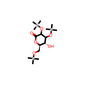 C[Si](C)(C)OC[C@H]1OC(=O)C(O[Si](C)(C)C)C(O[Si](C)(C)C)[C@@H]1O